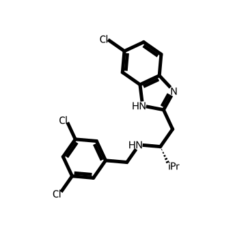 CC(C)[C@@H](Cc1nc2ccc(Cl)cc2[nH]1)NCc1cc(Cl)cc(Cl)c1